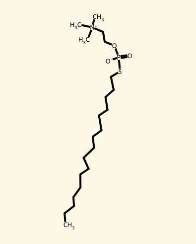 CCCCCCCCCCCCCCCCSP(=O)([O-])OCC[N+](C)(C)C